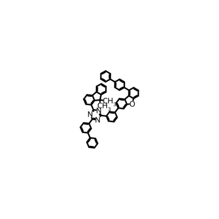 CC1(C)c2ccccc2-c2cccc(-c3nc(-c4cccc(-c5ccccc5)c4)nc(-c4cccc(-c5ccc6c(c5)oc5cccc(-c7ccc(-c8ccccc8)cc7)c56)c4)n3)c21